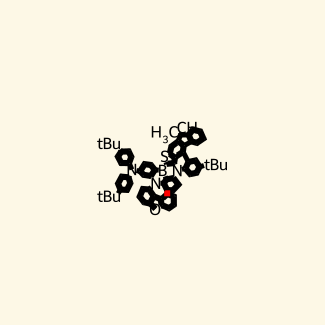 CC(C)(C)c1ccc(N(c2ccc(C(C)(C)C)cc2)c2ccc3c(c2)N(c2cccc4oc5ccccc5c24)c2cccc4c2B3c2sc3cc5c(c6c3c2N4c2ccc(C(C)(C)C)cc2-6)-c2ccccc2C5(C)C)cc1